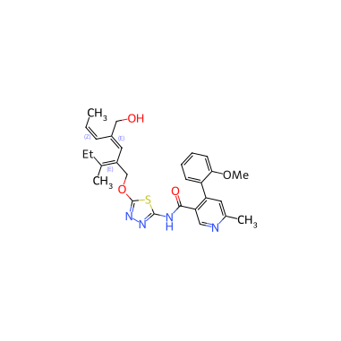 C\C=C/C(=C\C(COc1nnc(NC(=O)c2cnc(C)cc2-c2ccccc2OC)s1)=C(\C)CC)CO